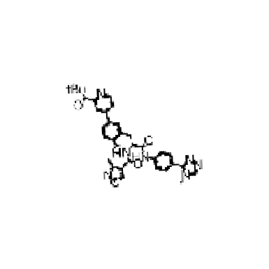 Cc1nocc1C(=O)N[C@@H](Cc1cc(-c2ccnc(C(=O)C(C)(C)C)c2)ccc1Cl)C(=O)Nc1ccc(-c2nncn2C)cc1